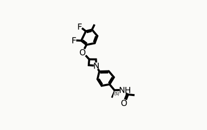 CC(=O)N[C@@H](C)c1ccc(N2CC(Oc3ccc(C)c(F)c3F)C2)cc1